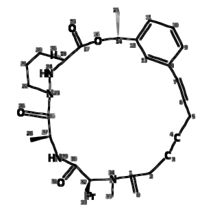 C=C1CCCC/C=C/c2cccc(c2)[C@@H](C)OC(=O)[C@@H]2CCCN(N2)C(=O)[C@H](C)NC(=O)[C@H](C(C)C)N1C